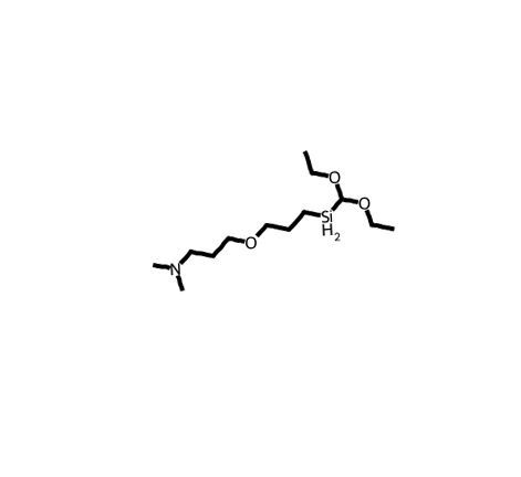 CCOC(OCC)[SiH2]CCCOCCCN(C)C